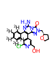 [2H]c1c([2H])c([2H])c(-c2nc(N)n3c(=O)n(C[C@H]4CCCO4)nc3c2-c2cc(Cl)nc(CO)c2)c([2H])c1[2H]